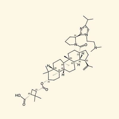 C=C(C)[C@@H]1CC[C@]2(C(=O)N3CCC[C@H]3c3nc(C(C)C)cn3CCN(C)C)CC[C@]3(C)[C@H](CC[C@@H]4[C@@]5(C)CC[C@H](OC(=O)[C@H]6C[C@@H](C(=O)O)C6(C)C)C(C)(C)[C@@H]5CC[C@]43C)[C@@H]12